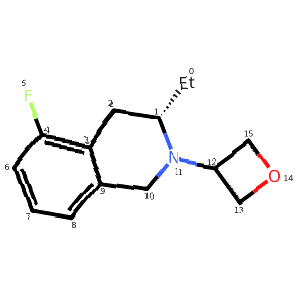 CC[C@H]1Cc2c(F)cccc2CN1C1COC1